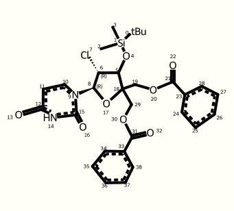 CC(C)(C)[Si](C)(C)OC1[C@@H](Cl)[C@H](n2ccc(=O)[nH]c2=O)OC1(COC(=O)c1ccccc1)COC(=O)c1ccccc1